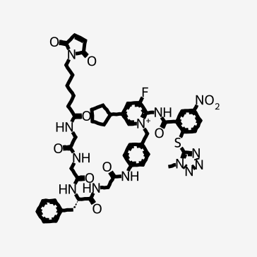 Cn1nnnc1Sc1ccc([N+](=O)[O-])cc1C(=O)Nc1c(F)cc(C2CCCC2)c[n+]1Cc1ccc(NC(=O)CNC(=O)[C@H](Cc2ccccc2)NC(=O)CNC(=O)CNC(=O)CCCCCN2C(=O)C=CC2=O)cc1